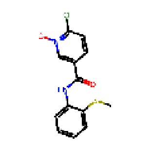 CSc1ccccc1NC(=O)c1ccc(Cl)[n+]([O-])c1